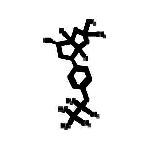 CC1(C)O[C@@H]2[C@H](O1)[C@@H](c1ccc(O[Si](C)(C)C(C)(C)C)cc1)C[C@@H]2O